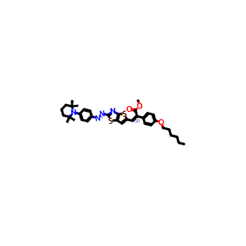 CCCCCCOc1ccc(/C(=C/c2cc3sc(/N=N/c4ccc(N5C(C)(C)CCCC5(C)C)cc4)nc3s2)C(=O)OC)cc1